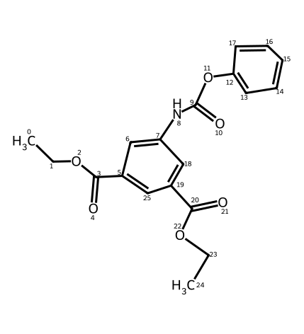 CCOC(=O)c1cc(NC(=O)Oc2ccccc2)cc(C(=O)OCC)c1